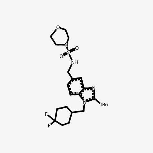 CC(C)(C)c1nc2cc(CNS(=O)(=O)N3CCOCC3)ccc2n1CC1CCC(F)(F)CC1